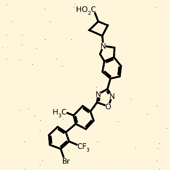 Cc1cc(-c2nc(-c3ccc4c(c3)CN(C3CC(C(=O)O)C3)C4)no2)ccc1-c1cccc(Br)c1C(F)(F)F